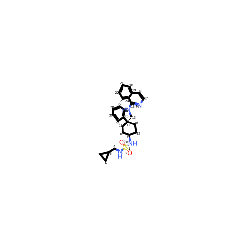 O=S(=O)(NCC1CC1)N[C@H]1CC[C@@](CNc2nccc3ccccc23)(c2ccccc2)CC1